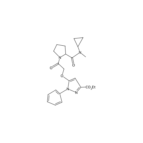 CCOC(=O)c1cc(OCC(=O)N2CCCC2C(=O)N(C)C2CC2)n(-c2ccccc2)n1